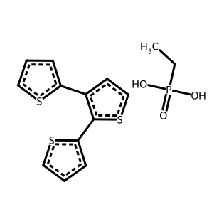 CCP(=O)(O)O.c1csc(-c2ccsc2-c2cccs2)c1